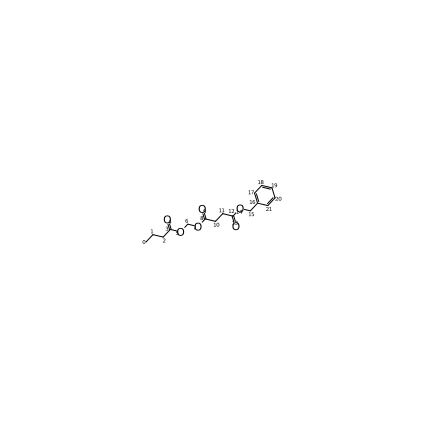 CCCC(=O)OCOC(=O)CCC(=O)OCc1ccccc1